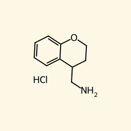 Cl.NCC1CCOc2ccccc21